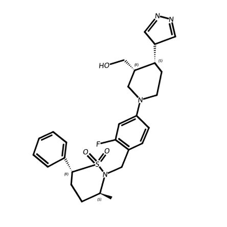 C[C@H]1CC[C@H](c2ccccc2)S(=O)(=O)N1Cc1ccc(N2CC[C@@H](C3C=NN=C3)[C@@H](CO)C2)cc1F